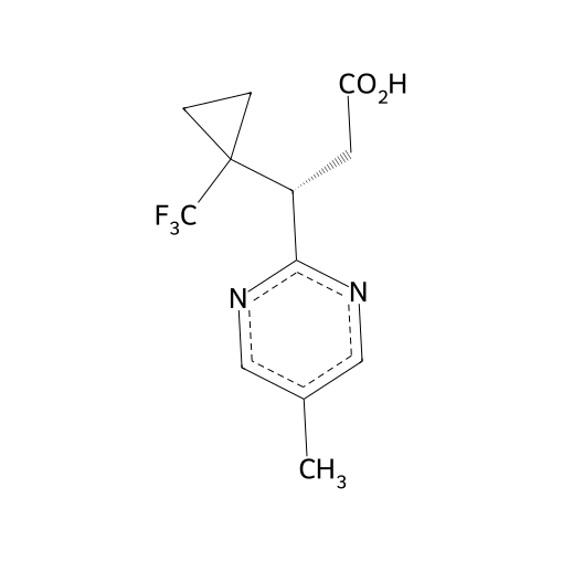 Cc1cnc([C@@H](CC(=O)O)C2(C(F)(F)F)CC2)nc1